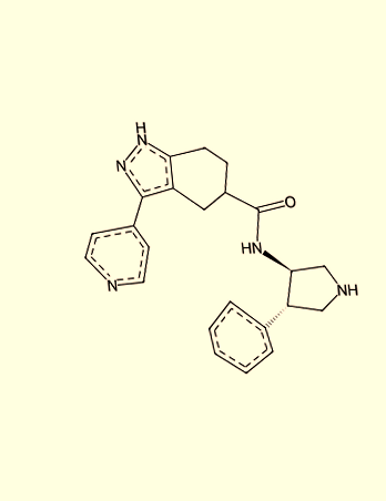 O=C(N[C@H]1CNC[C@@H]1c1ccccc1)C1CCc2[nH]nc(-c3ccncc3)c2C1